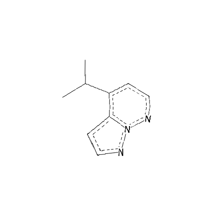 CC(C)c1ccnn2nccc12